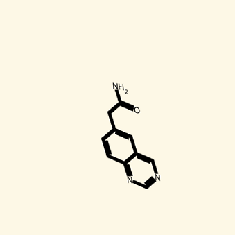 NC(=O)Cc1ccc2ncncc2c1